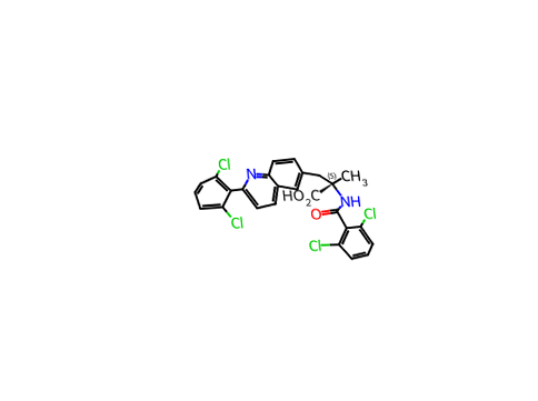 C[C@@](Cc1ccc2nc(-c3c(Cl)cccc3Cl)ccc2c1)(NC(=O)c1c(Cl)cccc1Cl)C(=O)O